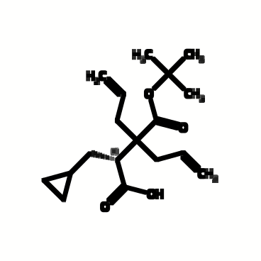 C=CCC(CC=C)(C(=O)OC(C)(C)C)[C@@H](CC1CC1)C(=O)O